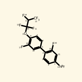 CCCc1ccc(-c2ccc(OC(F)(F)C(F)C(F)(F)F)c(F)c2)c(F)c1